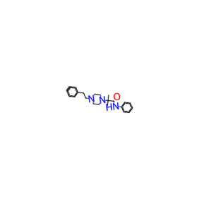 CC(C)(C(=O)Nc1ccccc1)N1CCN(CCc2cc#ccc2)CC1